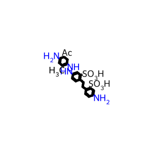 CC(=O)C1CC(NNc2ccc(CCc3ccc(N)cc3S(=O)(=O)O)c(S(=O)(=O)O)c2)=C(C)C=C1N